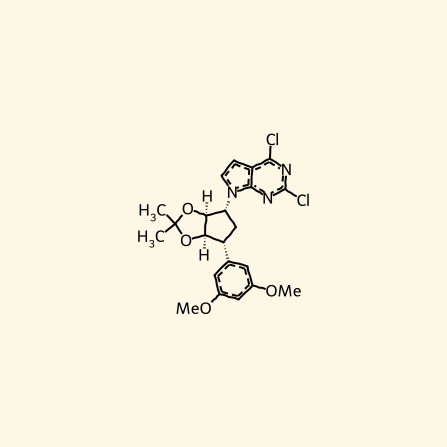 COc1cc(OC)cc([C@H]2C[C@@H](n3ccc4c(Cl)nc(Cl)nc43)[C@@H]3OC(C)(C)O[C@@H]32)c1